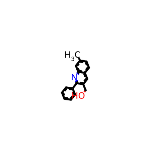 Cc1ccc2cc(CO)c(-c3ccccc3)nc2c1